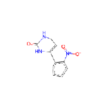 O=C1NCC=C(c2ccccc2[N+](=O)[O-])N1